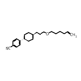 C=CCCCCOCCC[C@H]1CC[C@H](c2ccc(C#N)cc2)CC1